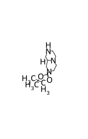 CC(C)(C)OC(=O)N1CCN2CCNC[C@@H]2C1